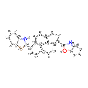 c1ccc2oc(-c3ccc4ccc5c(-c6nc7ccccc7s6)ccc6ccc3c4c65)nc2c1